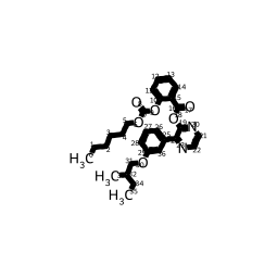 CCCCCCOC(=O)Oc1ccccc1C(=O)Oc1nccnc1-c1cccc(OCC(C)CC)c1